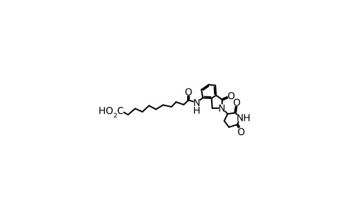 O=C(O)CCCCCCCCCC(=O)Nc1cccc2c1CN(C1CCC(=O)NC1=O)C2=O